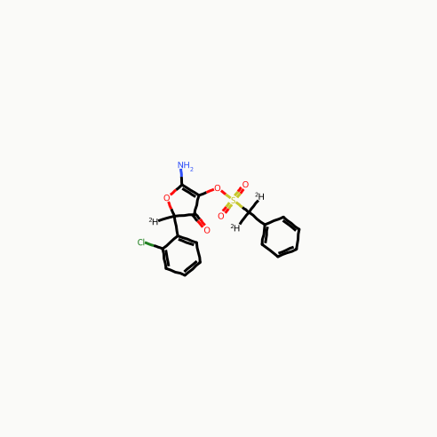 [2H]C1(c2ccccc2Cl)OC(N)=C(OS(=O)(=O)C([2H])([2H])c2ccccc2)C1=O